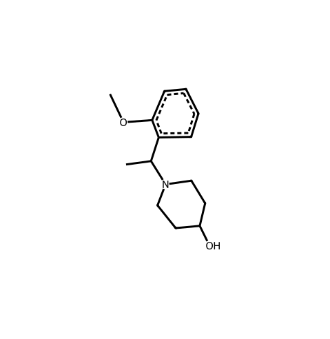 COc1ccccc1C(C)N1CCC(O)CC1